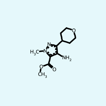 COC(=O)c1c(N)c(C2CCOCC2)nn1C